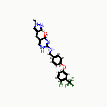 Cn1cc(Cc2c[nH]c(NCc3ccc(Oc4ccc(Cl)c(C(F)(F)F)c4)cc3)nc2=O)cn1